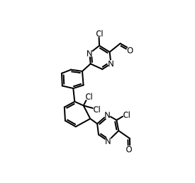 O=Cc1ncc(-c2cccc(C3=CC=CC(c4cnc(C=O)c(Cl)n4)C3(Cl)Cl)c2)nc1Cl